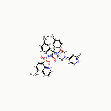 CCOc1ccc(OC)cc1C1(N2CCN(c3ccnc(C)c3)CC2)C(=O)N(S(=O)(=O)c2ccc(OC)c3cccnc23)c2ccc(C#N)cc21